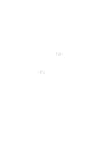 Cc1cccc(NCCN)c1